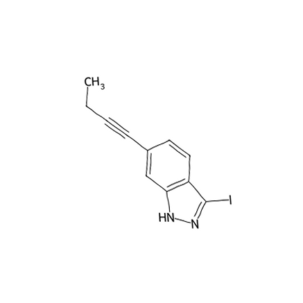 CCC#Cc1ccc2c(I)n[nH]c2c1